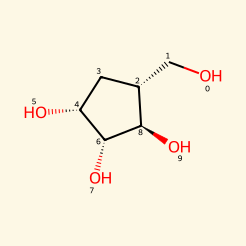 OC[C@H]1C[C@@H](O)[C@@H](O)[C@@H]1O